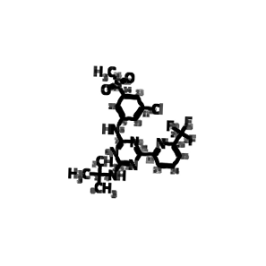 CC(C)(C)Nc1nc(Nc2cc(Cl)cc(S(C)(=O)=O)c2)nc(-c2cccc(C(F)(F)F)n2)n1